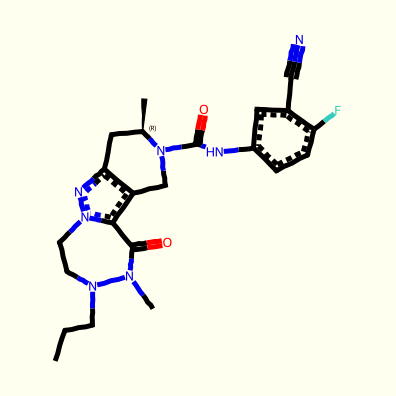 CCCN1CCn2nc3c(c2C(=O)N1C)CN(C(=O)Nc1ccc(F)c(C#N)c1)[C@H](C)C3